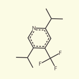 CC(C)c1cc(C(F)(F)F)c(C(C)C)cn1